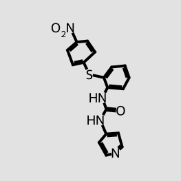 O=C(Nc1ccncc1)Nc1ccccc1Sc1ccc([N+](=O)[O-])cc1